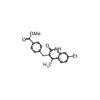 CCc1ccc2c(C)c(Cc3ccc(C(=O)OC)cc3)c(=O)[nH]c2c1